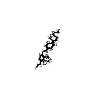 CCCc1ccc(CCC2CCC(C3CCC(CCC)CC3)CC2)c(OC)c1OC